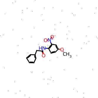 COc1ccc(NC(=O)Cc2ccccc2)c([N+](=O)[O-])c1